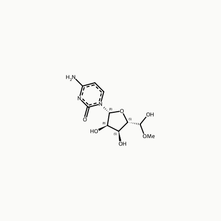 COC(O)[C@H]1O[C@@H](n2ccc(N)nc2=O)[C@H](O)[C@@H]1O